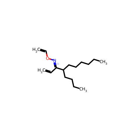 C=CO/N=C(\C=C)C(CCCC)CCCCCC